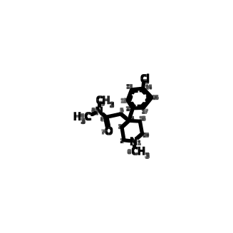 CN1CCC(CC(=O)N(C)C)(c2ccc(Cl)cc2)CC1